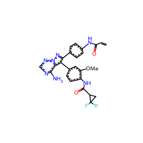 C=CC(=O)Nc1ccc(-c2nn3ncnc(N)c3c2-c2ccc(NC(=O)C3CC3(F)F)c(OC)c2)cc1